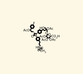 CC(=O)O[C@@H]1[C@@H](OC(C)=O)[C@H](OCC(CO)(CCc2ccc([C@@H]3[C@@H](CC[C@H](OC(C)=O)c4ccc(F)cc4)C(=O)N3c3ccc(CCCNS(C)(=O)=O)cc3)cc2)OC(C)=O)O[C@H](C(=O)O)[C@H]1OC(C)=O